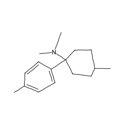 Cc1ccc(C2(N(C)C)CCC(C)CC2)cc1